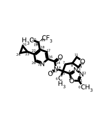 Cc1nnc(C(C)(CC2COC2)[N+](=O)C(=O)c2cc([C@H](C)C(F)(F)F)c(C3CC3)cn2)o1